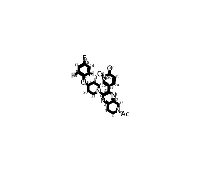 CC(=O)N1CCc2nc(N3CCC(Oc4ccc(F)cc4F)CC3)c(-c3ccc(=O)n(C)c3)nc2C1